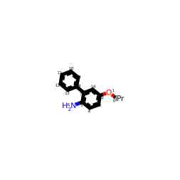 CC(C)Oc1ccc(N)c(-c2ccccc2)c1